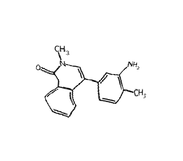 Cc1ccc(-c2cn(C)c(=O)c3ccccc23)cc1N